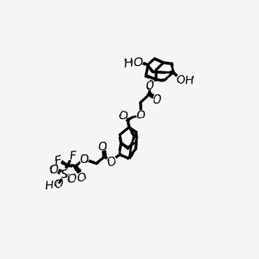 O=C(COC(=O)C(F)(F)S(=O)(=O)O)OC1C2CC3CC1CC(C(=O)OCC(=O)OC14CC5CC(O)(CC(O)(C5)C1)C4)(C3)C2